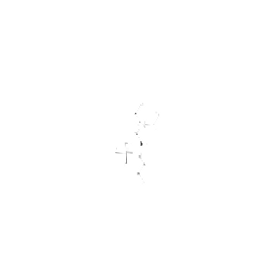 CCC[SiH](CCN(CC)CC)C(C)(C)C